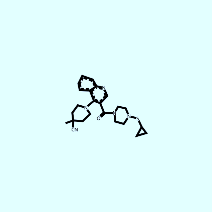 CC1(C#N)CCN(c2c(C(=O)N3CCN(SC4CC4)CC3)cnc3ccccc23)CC1